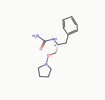 NC(=O)N[C@@H](CON1CCCC1)Cc1ccccc1